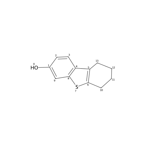 Oc1ccc2c3c(sc2c1)CCCC3